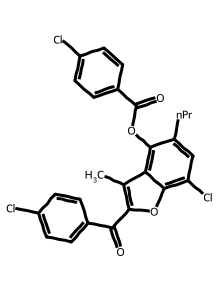 CCCc1cc(Cl)c2oc(C(=O)c3ccc(Cl)cc3)c(C)c2c1OC(=O)c1ccc(Cl)cc1